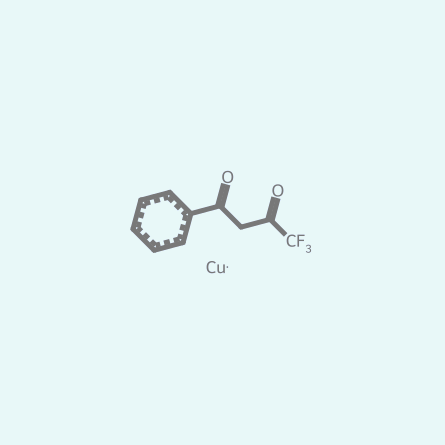 O=C(CC(=O)C(F)(F)F)c1ccccc1.[Cu]